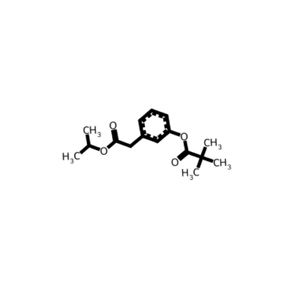 CC(C)OC(=O)Cc1cccc(OC(=O)C(C)(C)C)c1